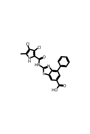 Cc1[nH]c(C(=O)Nc2nc3c(-c4ccccc4)cc(C(=O)O)cc3s2)c(Cl)c1Cl